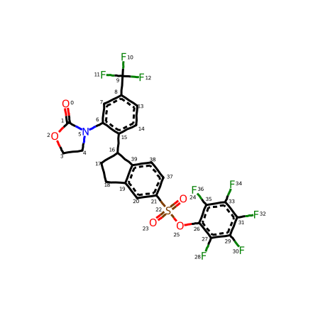 O=C1OCCN1c1cc(C(F)(F)F)ccc1C1CCc2cc(S(=O)(=O)Oc3c(F)c(F)c(F)c(F)c3F)ccc21